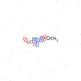 CCC1CC(OC2CCOCC2)CC1C(=O)NNc1cnc2c(ccn2S(=O)(=O)c2ccc(C)cc2)n1